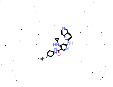 CCC[C@H]1CC[C@H](NC(=O)c2cnc(Nc3ccc4cnccc4n3)cc2NC2CC2)CC1